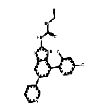 CCNC(=O)Nc1nc2cc(-c3cccnc3)cc(-c3ncc(F)cc3F)c2[nH]1